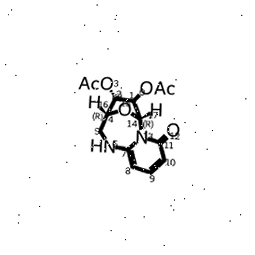 CC(=O)OC1[C@@H](OC(C)=O)[C@H]2CNc3cccc(=O)n3[C@@H]1O2